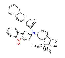 CC1(C)c2ccccc2-c2ccc(N(c3cccc(-c4ccc5ccccc5c4)c3)c3ccc4oc5ccccc5c4c3)cc21